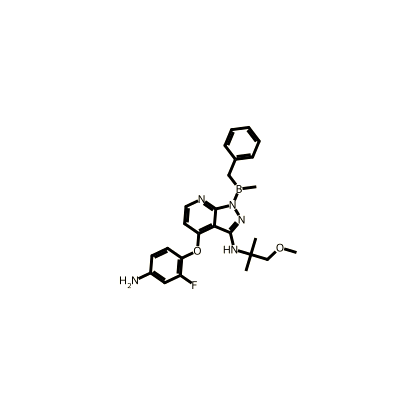 COCC(C)(C)Nc1nn(B(C)Cc2ccccc2)c2nccc(Oc3ccc(N)cc3F)c12